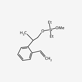 C=Cc1ccccc1C(C)CO[Si](CC)(CC)OC